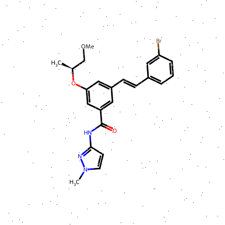 COC[C@H](C)Oc1cc(C=Cc2cccc(Br)c2)cc(C(=O)Nc2ccn(C)n2)c1